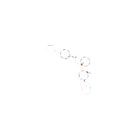 COc1cccc(C(=O)NC2CC3CCC(C2)N3c2ccc(C(=O)NCc3ccc(N4CCCC4)cc3)cn2)c1C